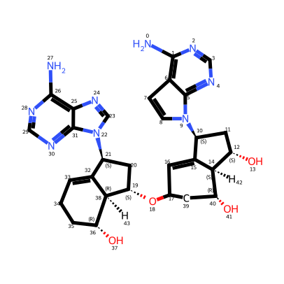 Nc1ncnc2c1ccn2[C@H]1C[C@H](O)[C@@H]2C1=CC(O[C@H]1C[C@H](n3cnc4c(N)ncnc43)C3=CCC[C@@H](O)[C@@H]31)C[C@H]2O